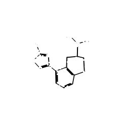 CCCN(CCC)C1CCc2cccc(-c3csc(N)n3)c2C1